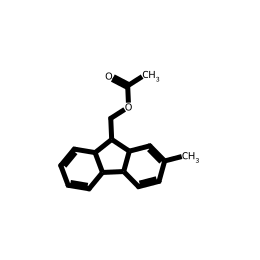 CC(=O)OCC1C2C=CC=CC2C2C=CC(C)=CC21